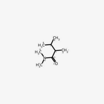 [CH2]C(C(=O)N(C)C)C(C)C